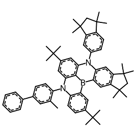 Cc1cc(-c2ccccc2)ccc1N1c2ccc(C(C)(C)C)cc2B2c3cc4c(cc3N(c3ccc5c(c3)C(C)(C)CC5(C)C)c3cc(C(C)(C)C)cc1c32)C(C)(C)CC4(C)C